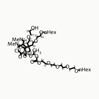 CCCCCCOCCOCCOCCOCCOC(=O)OC(C)OP(=O)(CC(CCOCCO)(CCOCCOCCCCCC)C(Cl)OC(=O)Cl)SCC(CNC)CNC